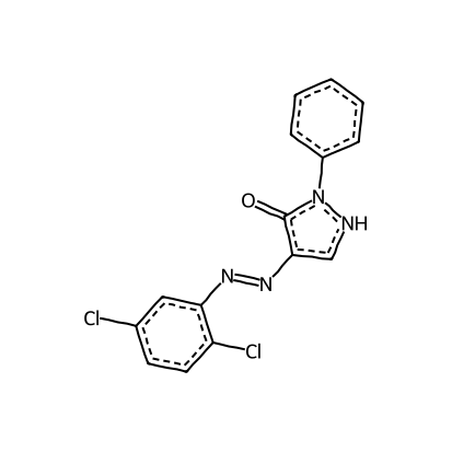 O=c1c(N=Nc2cc(Cl)ccc2Cl)c[nH]n1-c1ccccc1